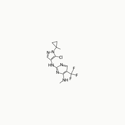 CNc1nc(Nc2cnn(C3(C)CC3)c2Cl)ncc1C(F)(F)F